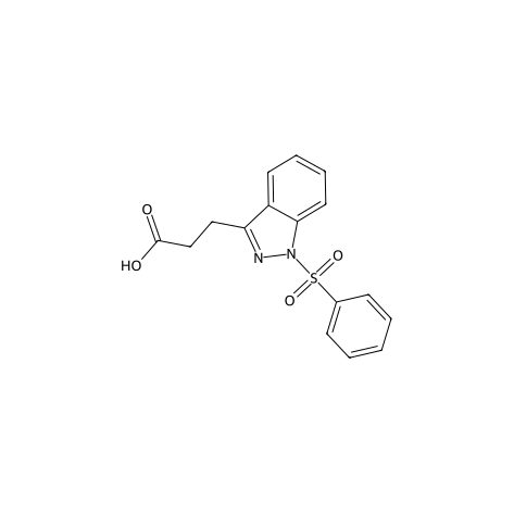 O=C(O)CCc1nn(S(=O)(=O)c2ccccc2)c2ccccc12